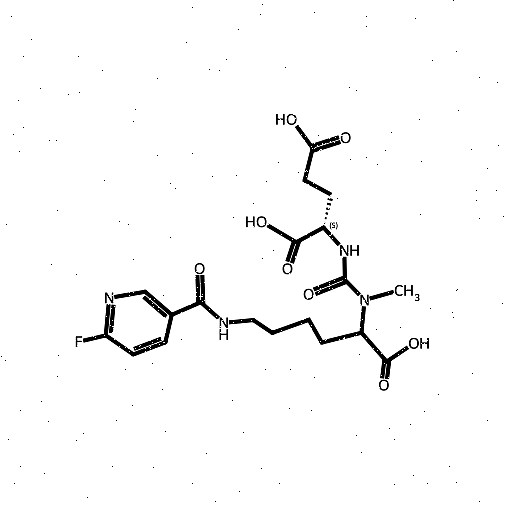 CN(C(=O)N[C@@H](CCC(=O)O)C(=O)O)C(CCCCNC(=O)c1ccc(F)nc1)C(=O)O